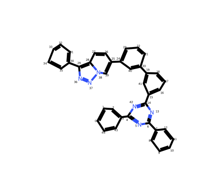 c1ccc(-c2nc(-c3ccccc3)nc(-c3cccc(-c4cccc(-c5ccc6c(-c7ccccc7)nnn6c5)c4)c3)n2)cc1